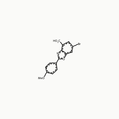 COc1ccc(-c2nc3c(C(=O)O)cc(Br)cc3o2)cc1